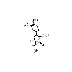 COc1ccc(C2=C(C(=O)O)N3C(=O)[C@H]([C@@H](C)O)[C@H]3C2)cc1C#N